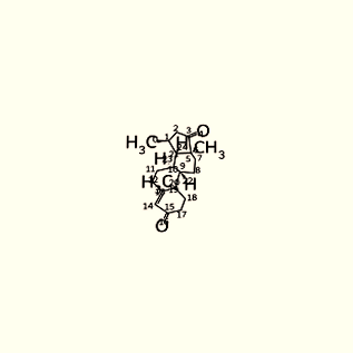 C[C@H]1CC(=O)[C@@]2(C)CC[C@H]3[C@@H](CCC4=CC(=O)CC[C@@]43C)[C@H]12